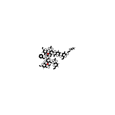 CCC1O[C@H](OCC2O[C@H](OCC3O[C@@H](O[C@@H]4C(CC)O[C@@H](O[C@@H]5C(CC)O[C@@H](OCCN=[N+]=[N-])C(C)[C@H]5C)C(C)[C@@H]4C)C(OC(C)=O)[C@@H](O[C@H]4O[C@@H](CC)[C@@H](C)C(C)C4OC(C)=O)[C@@H]3O)C(OCc3ccccc3)[C@H](O[C@H]3O[C@@H](CC)[C@@H](C)C(C)C3OC(C)=O)[C@@H]2C)C(OC(C)=O)[C@H](C)[C@@H]1C